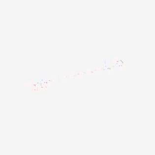 O=C(O)CC(NC(=O)CCOCCOCCOCCOCCOCCOCCNC(=O)CCN1C(=O)C=CC1=O)C(=O)O